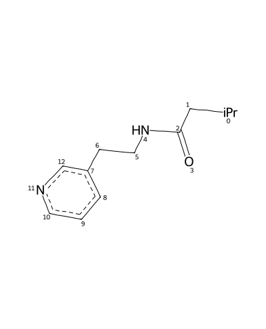 CC(C)CC(=O)NCCc1cccnc1